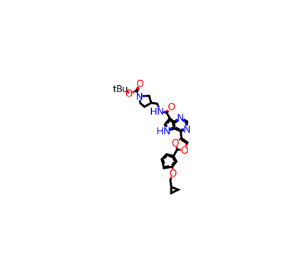 CC(C)(C)OC(=O)N1CCC(CNC(=O)c2c[nH]c3c(C4=COC(c5cccc(OCC6CC6)c5)O4)ncnc23)C1